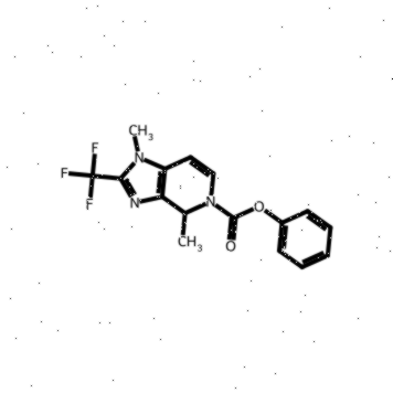 CC1c2nc(C(F)(F)F)n(C)c2C=CN1C(=O)Oc1ccccc1